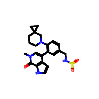 Cn1cc(-c2cc(CN[SH](=O)=O)ccc2N2CCCC3(CC3)C2)c2cc[nH]c2c1=O